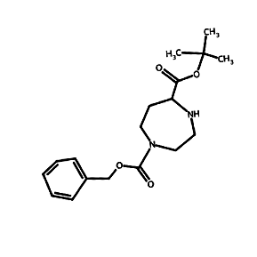 CC(C)(C)OC(=O)C1CCN(C(=O)OCc2ccccc2)CCN1